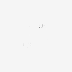 Cc1cc(N)c2ccccc2c1N